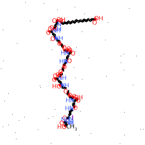 C[C@@H](O)[C@H](NC(=O)[C@H](CCCCNC(=O)CC[C@H](NC(=O)COCCOCCNC(O)CC[C@H](NC(=O)COCCOCCNC(=O)CC[C@H](NC(=O)COCCOCCNC(=O)CC[C@H](NC(=O)CC[C@H](NC(=O)CCCCCCCCCCCCCCCCC(=O)O)C(=O)O)C(=O)O)C(=O)O)C(=O)O)C(=O)O)NI)C(N)=O